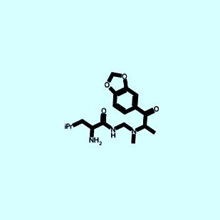 CC(C)CC(N)C(=O)NCN(C)C(C)C(=O)c1ccc2c(c1)OCO2